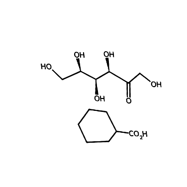 O=C(CO)[C@H](O)[C@@H](O)[C@H](O)CO.O=C(O)C1CCCCC1